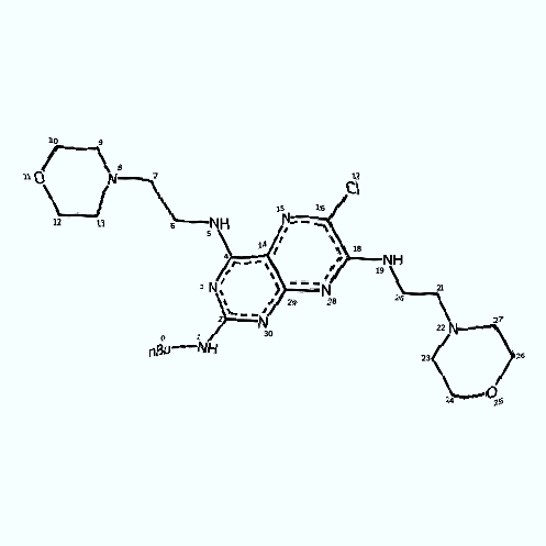 CCCCNc1nc(NCCN2CCOCC2)c2nc(Cl)c(NCCN3CCOCC3)nc2n1